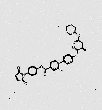 C=C(CC(=O)OC1CCCCC1)C(=O)Oc1ccc(-c2ccc(C(=O)Oc3ccc(N4C(=O)C=CC4=O)cc3)cc2C)cc1